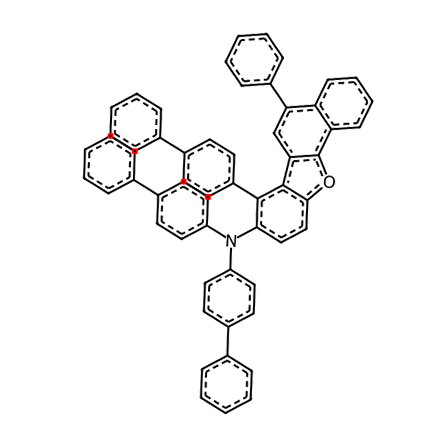 c1ccc(-c2ccc(-c3c(N(c4ccc(-c5ccccc5)cc4)c4ccc(-c5ccccc5)cc4)ccc4oc5c6ccccc6c(-c6ccccc6)cc5c34)cc2)cc1